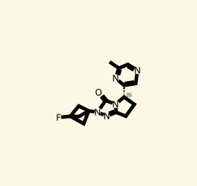 Cc1cncc([C@@H]2CCc3nn(C45CC(F)(C4)C5)c(=O)n32)n1